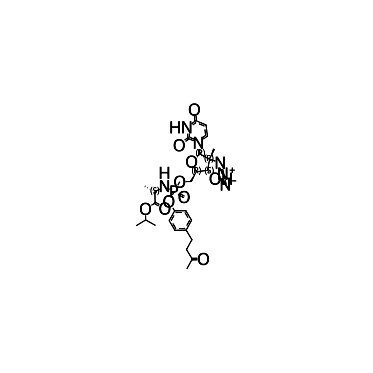 CC(=O)CCc1ccc(OP(=O)(N[C@@H](C)C(=O)OC(C)C)OC[C@H]2O[C@@H](n3ccc(=O)[nH]c3=O)[C@](C)(N=[N+]=[N-])[C@@H]2O)cc1